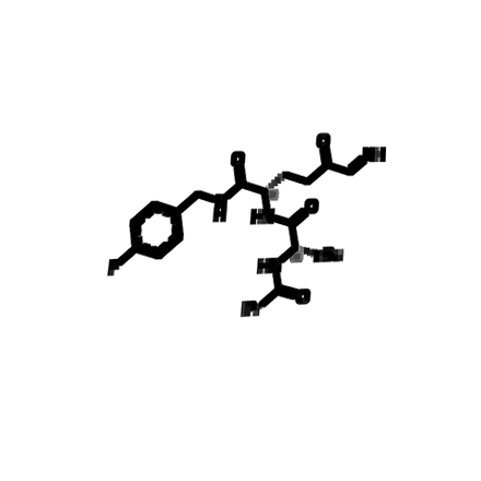 CCCC[C@H](NC(=O)C(C)C)C(=O)N[C@@H](CCC(=O)C=N)C(=O)NCc1ccc(F)cc1